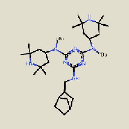 CCCCN(c1nc(NCC2CC3CCC2C3)nc(N(CCCC)C2CC(C)(C)NC(C)(C)C2)n1)C1CC(C)(C)NC(C)(C)C1